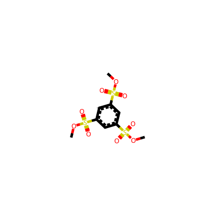 COS(=O)(=O)c1[c]c(S(=O)(=O)OC)cc(S(=O)(=O)OC)c1